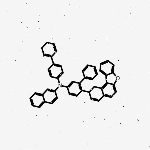 C1=CC(c2ccc(N(c3ccc(C4C=Cc5ccc6oc7ccccc7c6c5C4)c(-c4ccccc4)c3)c3ccc4ccccc4c3)cc2)=CCC1